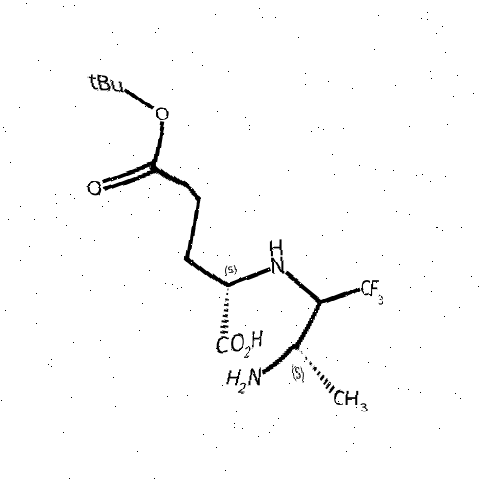 C[C@H](N)C(N[C@@H](CCC(=O)OC(C)(C)C)C(=O)O)C(F)(F)F